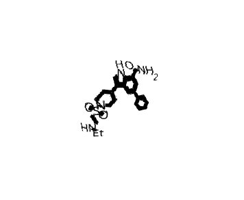 CCNCCS(=O)(=O)N1CCC(c2c[nH]c3c(C(N)=O)cc(-c4ccccc4)cc23)CC1